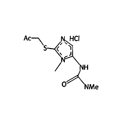 CNC(=O)Nc1cnc(SCC(C)=O)n1C.Cl